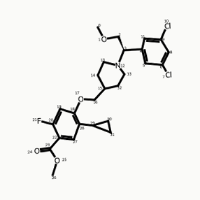 COC[C@@H](c1cc(Cl)cc(Cl)c1)N1CCC(COc2cc(F)c(C(=O)OC)cc2C2CC2)CC1